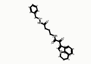 O=C(CCCNC(=O)C(=O)c1cn2c3c(cccc13)CCC2)NOCc1ccccc1